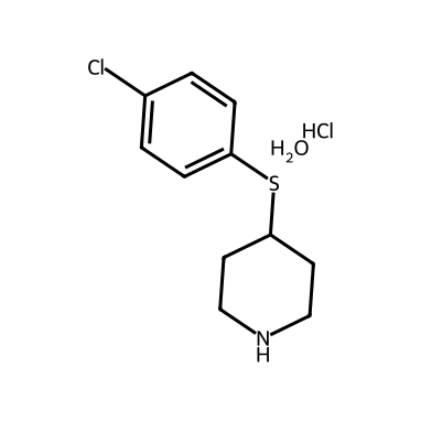 Cl.Clc1ccc(SC2CCNCC2)cc1.O